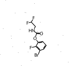 O=C(NCC(F)F)Oc1cccc(Br)c1F